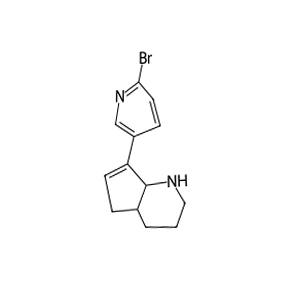 Brc1ccc(C2=CCC3CCCNC23)cn1